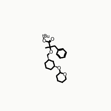 CC(C)(C)OC(=O)C(C)(Cc1ccccc1)OC[C@@H]1CCC[C@H](OC2CCCCO2)C1